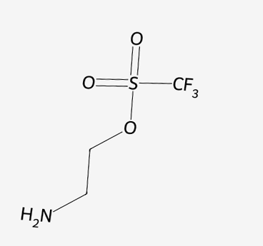 NCCOS(=O)(=O)C(F)(F)F